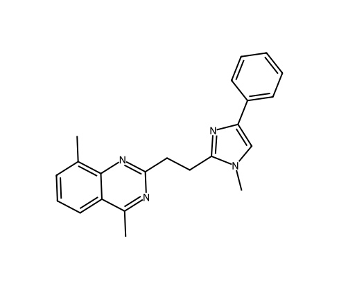 Cc1nc(CCc2nc(-c3ccccc3)cn2C)nc2c(C)cccc12